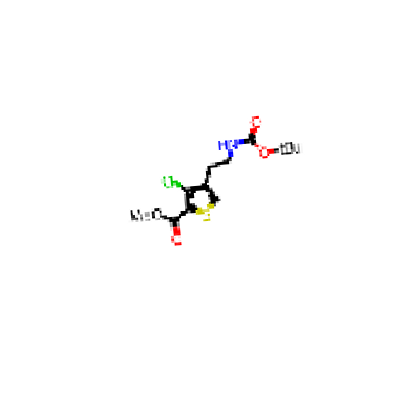 COC(=O)c1scc(CCNC(=O)OC(C)(C)C)c1Cl